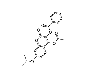 CC(=O)Oc1c(OC(=O)c2ccccc2)c(=O)oc2cc(OC(C)C)ccc12